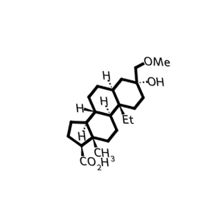 CC[C@]12CC[C@](O)(COC)C[C@@H]1CC[C@H]1[C@@H]3CC[C@H](C(=O)O)[C@@]3(C)CC[C@@H]12